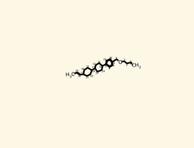 C=CCCOCc1ccc(C2CCC(C3CCC(/C=C/C)CC3)CC2)cc1